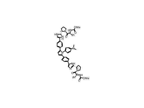 COC(=O)N[C@H](C(=O)N1CCC[C@H]1c1ncc(-c2ccc(-c3ccc(-c4ccc(C5=CNC([C@@H]6CCCN6C(=O)[C@@H](NC(=O)OC)C(C)C)N5)cc4)n3-c3ccc(N(C)C)cc3)cc2)[nH]1)C(C)C